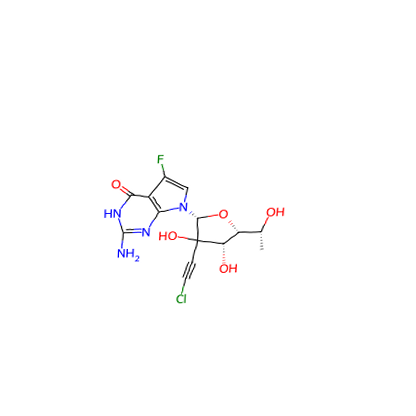 C[C@@H](O)[C@H]1O[C@@H](n2cc(F)c3c(=O)[nH]c(N)nc32)C(O)(C#CCl)[C@H]1O